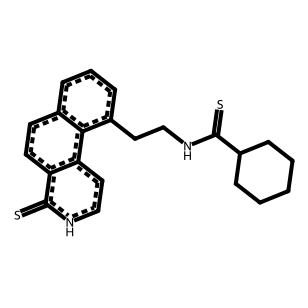 S=C(NCCc1cccc2ccc3c(=S)[nH]ccc3c12)C1CCCCC1